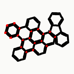 c1ccc(-c2ccccc2-c2c(-c3ccccc3)cccc2-c2ccccc2N(c2ccc(-n3c4ccccc4c4ccccc43)cc2)c2ccccc2-c2ccccc2)cc1